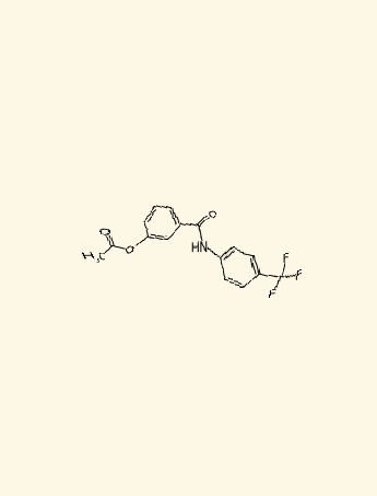 CC(=O)Oc1cccc(C(=O)Nc2ccc(C(F)(F)F)cc2)c1